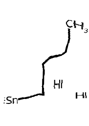 CCC[CH2][Sn].I.I